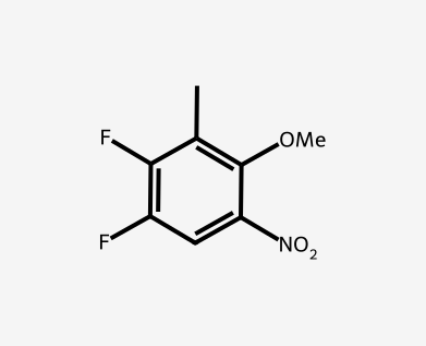 COc1c([N+](=O)[O-])cc(F)c(F)c1C